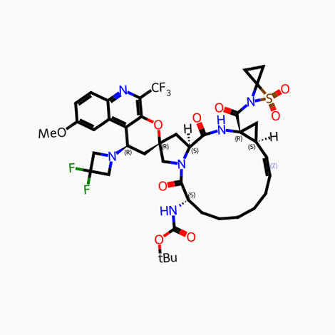 COc1ccc2nc(C(F)(F)F)c3c(c2c1)[C@H](N1CC(F)(F)C1)C[C@]1(C[C@H]2C(=O)N[C@]4(C(=O)N5C6(CC6)S5(=O)=O)C[C@H]4/C=C\CCCCC[C@H](NC(=O)OC(C)(C)C)C(=O)N2C1)O3